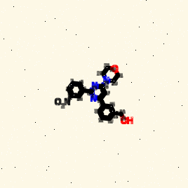 O=[N+]([O-])c1cccc(-c2nc(-c3cccc(CO)c3)cc(N3CCOCC3)n2)c1